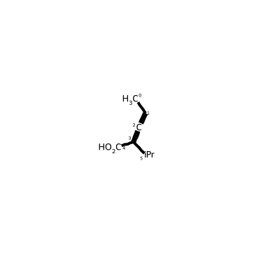 CC=C=C(C(=O)O)C(C)C